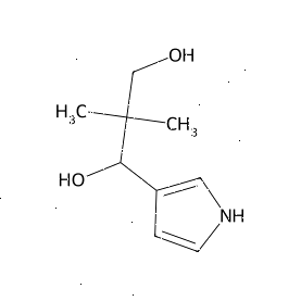 CC(C)(CO)C(O)c1cc[nH]c1